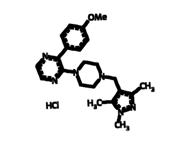 COc1ccc(-c2nccnc2N2CCN(Cc3c(C)nn(C)c3C)CC2)cc1.Cl